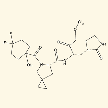 O=C1NCC[C@H]1C[C@H](NC(=O)[C@@H]1CC2(CC2)CN1C(=O)C1(O)CCC(F)(F)CC1)C(=O)COC(F)(F)F